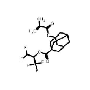 C=C(C)C(=O)OC12CC3CC(C1)CC(C(=O)OC(C(F)F)C(F)(F)F)(C3)C2